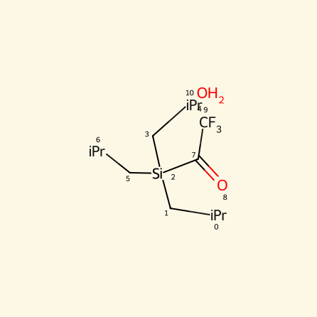 CC(C)C[Si](CC(C)C)(CC(C)C)C(=O)C(F)(F)F.O